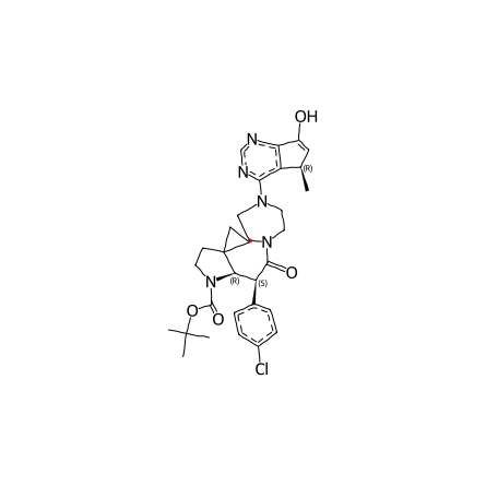 C[C@@H]1C=C(O)c2ncnc(N3CCN(C(=O)[C@@H](c4ccc(Cl)cc4)[C@H]4N(C(=O)OC(C)(C)C)CCC45CC5)CC3)c21